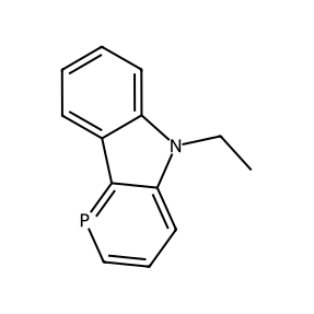 CCn1c2ccccc2c2pcccc21